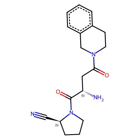 N#C[C@@H]1CCCN1C(=O)[C@@H](N)CC(=O)N1CCc2ccccc2C1